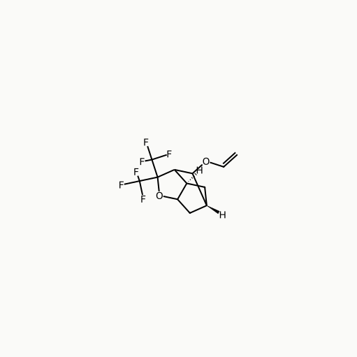 C=COC1C2[C@H]3C[C@@H]1CC3OC2(C(F)(F)F)C(F)(F)F